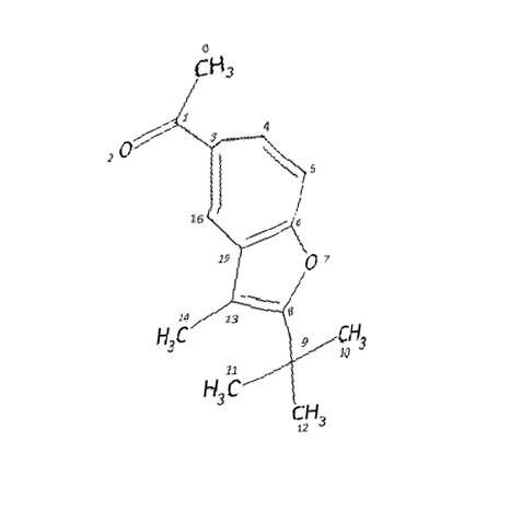 CC(=O)c1ccc2oc(C(C)(C)C)c(C)c2c1